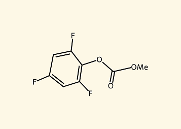 COC(=O)Oc1c(F)cc(F)cc1F